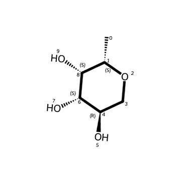 C[C@@H]1OC[C@@H](O)[C@H](O)[C@@H]1O